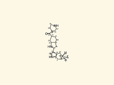 C[C@@]12Cc3[nH]nc(C4CC5CCC(C(=O)N6CCNCC6)CC5N4)c3C[C@@H]1C2(F)F